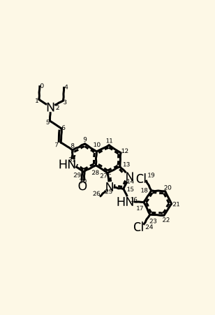 CCN(CC)CC=Cc1cc2ccc3nc(Nc4c(Cl)cccc4Cl)n(C)c3c2c(=O)[nH]1